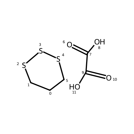 C1CSSSC1.O=C(O)C(=O)O